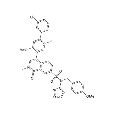 COc1ccc(CN(c2ccon2)S(=O)(=O)c2ccc3c(-c4cc(F)c(-c5cccc(Cl)c5)cc4OC)cn(C)c(=O)c3c2)cc1